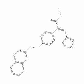 NNC(=O)/C(=C/c1ccoc1)c1ccc(OCc2ccc3ccccc3n2)cc1